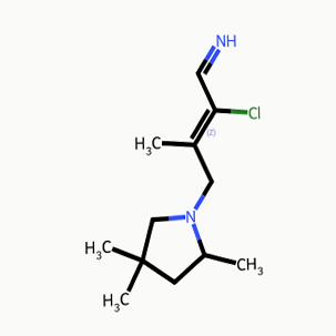 C/C(CN1CC(C)(C)CC1C)=C(/Cl)C=N